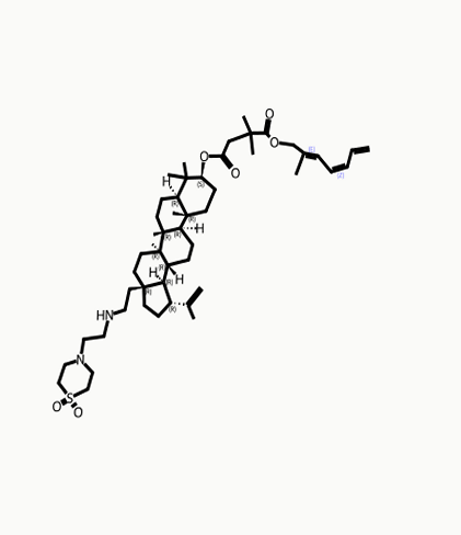 C=C/C=C\C=C(/C)COC(=O)C(C)(C)CC(=O)O[C@H]1CC[C@]2(C)[C@H]3CC[C@@H]4[C@H]5[C@H](C(=C)C)CC[C@]5(CCNCCN5CCS(=O)(=O)CC5)CC[C@@]4(C)[C@]3(C)CC[C@H]2C1(C)C